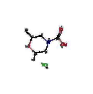 CC1CN(C(=O)O)CC(C)O1.Cl